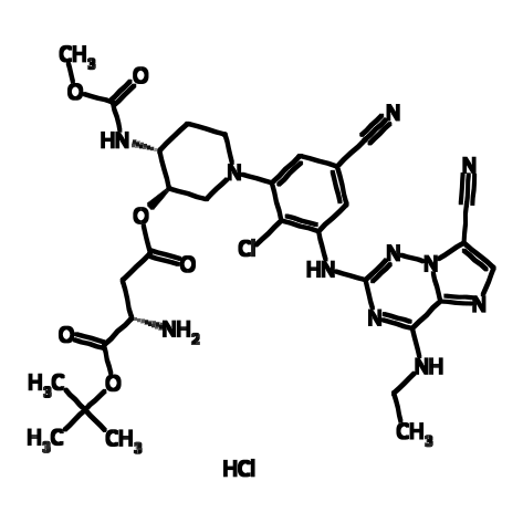 CCNc1nc(Nc2cc(C#N)cc(N3CC[C@@H](NC(=O)OC)[C@H](OC(=O)C[C@H](N)C(=O)OC(C)(C)C)C3)c2Cl)nn2c(C#N)cnc12.Cl